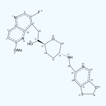 COc1ccc2ncc(F)c(CC(O)[C@@H]3CC[C@@H](NCc4cc5c(cn4)OCS5)CO3)c2n1